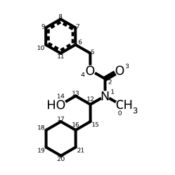 CN(C(=O)OCc1ccccc1)C(CO)CC1CCCCC1